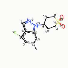 Cc1cc(F)c2cnn(C3CCS(=O)(=O)CC3)c2c1